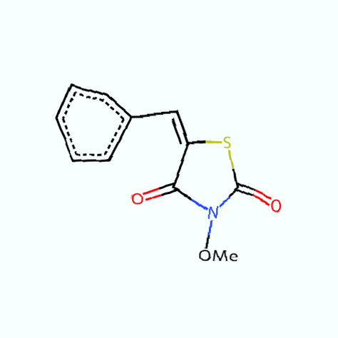 CON1C(=O)SC(=Cc2ccccc2)C1=O